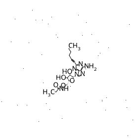 CCCCC#Cc1nc(N)c2ncn([C@@H]3O[C@H](CONC(=O)CC)C(O)C3O)c2n1